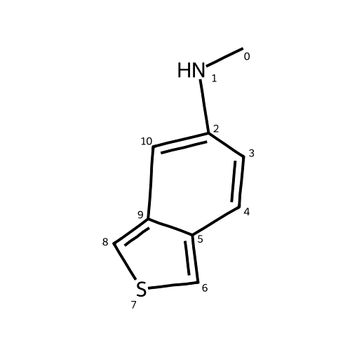 CNc1ccc2cscc2c1